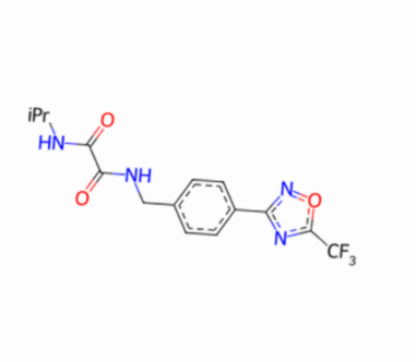 CC(C)NC(=O)C(=O)NCc1ccc(-c2noc(C(F)(F)F)n2)cc1